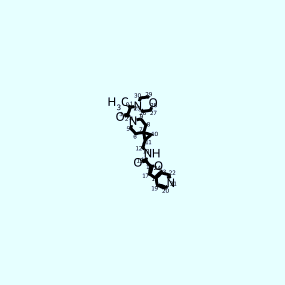 CC(C(=O)N1CCC2(CC1)CC2CNC(=O)c1cc2ccncc2o1)N1CCOCC1